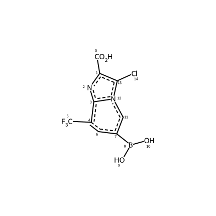 O=C(O)c1nc2c(C(F)(F)F)cc(B(O)O)cn2c1Cl